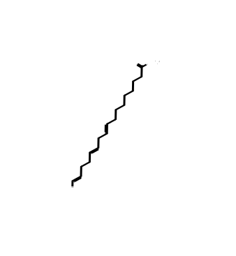 C/C=C/CC/C=C/C/C=C/CCCCCCCC(=O)OC